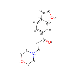 O=C(CCN1CCOCC1)c1ccc2ccoc2c1